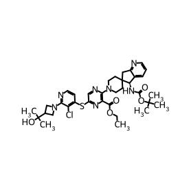 CCOC(=O)c1nc(Sc2ccnc(N3CC(C(C)(C)O)C3)c2Cl)cnc1N1CCC2(CC1)Cc1ncccc1[C@H]2NC(=O)OC(C)(C)C